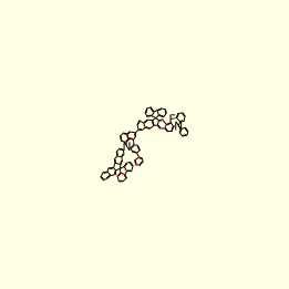 Fc1ccccc1N(c1ccccc1)c1ccc2cc3c(cc2c1)C1(c2ccccc2-c2ccccc21)c1cc2ccc(-c4cccc(-c5ccc(-c6ccccc6)cc5N(c5ccccc5)c5ccc6cc7c(cc6c5)C5(c6ccccc6-c6ccccc65)c5cc6ccccc6cc5-7)c4)cc2cc1-3